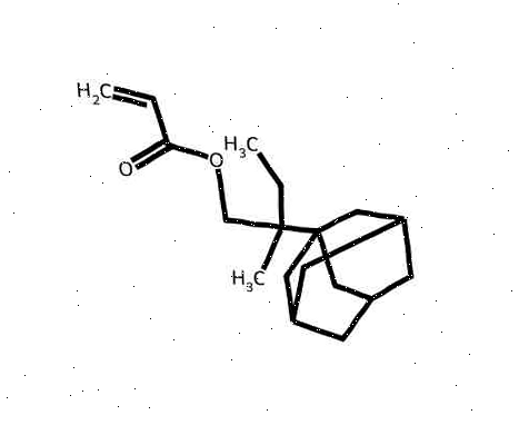 C=CC(=O)OCC(C)(CC)C12CC3CC(CC(C3)C1)C2